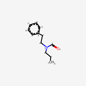 CCCN([C]=O)CCc1ccccc1